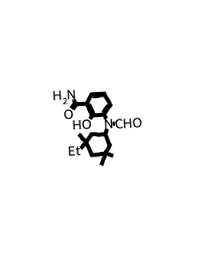 CCC1(C)CC(N(C=O)c2cccc(C(N)=O)c2O)CC(C)(C)C1